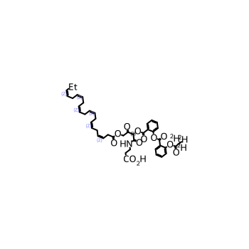 [2H]C([2H])([2H])C(=O)Oc1ccccc1C(=O)Oc1ccccc1C(=O)O[C@H](C(=O)COC(=O)C/C=C\C/C=C\C/C=C\C/C=C\C/C=C\C/C=C\CC)C(=O)NCCC(=O)O